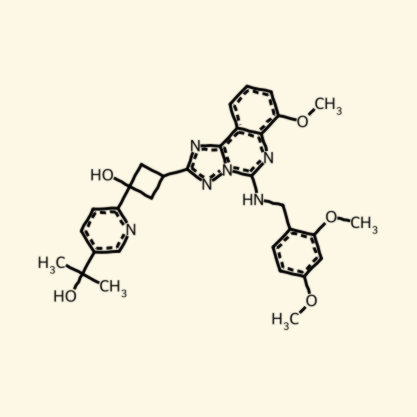 COc1ccc(CNc2nc3c(OC)cccc3c3nc(C4CC(O)(c5ccc(C(C)(C)O)cn5)C4)nn23)c(OC)c1